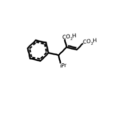 CC(C)C(/C(=C/C(=O)O)C(=O)O)c1ccccc1